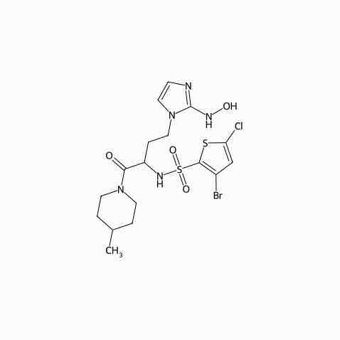 CC1CCN(C(=O)C(CCn2ccnc2NO)NS(=O)(=O)c2sc(Cl)cc2Br)CC1